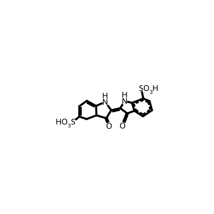 O=C1C(=C2NC3=CC=C(S(=O)(=O)O)CC3C2=O)Nc2c1cccc2S(=O)(=O)O